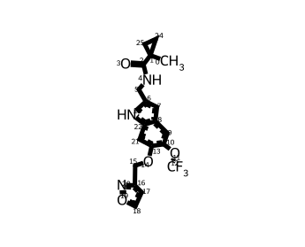 CC1(C(=O)NCc2cc3cc(OC(F)(F)F)c(OCc4ccon4)cc3[nH]2)CC1